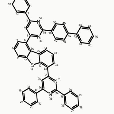 C1=CC(c2cc(-c3cccc4sc5c(-c6cc(-c7ccccc7)nc(-c7ccccc7)n6)cccc5c34)nc(-c3ccc(-c4ccccc4)cc3)n2)=CCC1